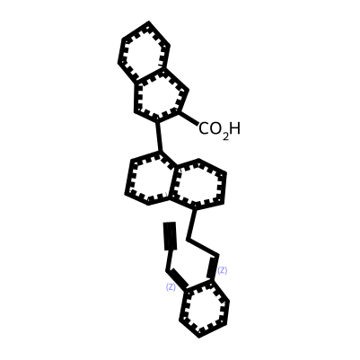 C#C/C=c1/cccc/c1=C/Cc1cccc2c(-c3cc4ccccc4cc3C(=O)O)cccc12